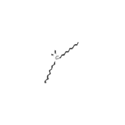 CCCCCCCCCCO[Si](CCCCCCCCCC)(OCC)OCC